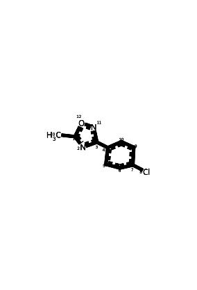 Cc1nc(-c2ccc(Cl)cc2)no1